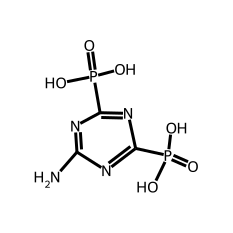 Nc1nc(P(=O)(O)O)nc(P(=O)(O)O)n1